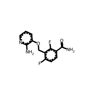 NC(=O)c1ccc(F)c(COc2cccnc2N)c1F